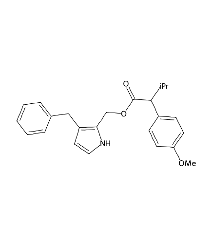 COc1ccc(C(C(=O)OCc2[nH]ccc2Cc2ccccc2)C(C)C)cc1